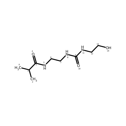 CC(C)C(=O)NCCNC(=O)NCCO